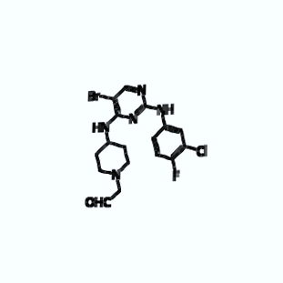 O=CCN1CCC(Nc2nc(Nc3ccc(F)c(Cl)c3)ncc2Br)CC1